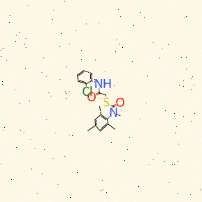 Cc1cc(C)c(N(C)C(=O)SCC(=O)Nc2ccccc2Cl)c(C)c1